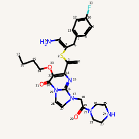 C=C(S/C(=C\N)Cc1ccc(F)cc1)c1nc2n(CC(=O)N3CCNCC3)ccn2c(=O)c1OCCCC